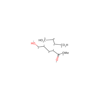 COC(=O)CCCCO.O=C(O)CCC(=O)O